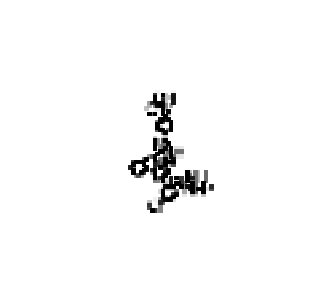 CN(C(=O)O)c1ccc(-c2c[nH]c(C(Cc3ccccc3)n3ccc(-c4cc(Cl)ccc4NC(=N)N)cc3=O)n2)cc1